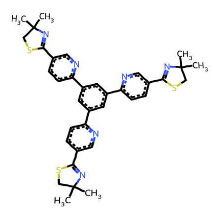 CC1(C)CSC(c2ccc(-c3cc(-c4ccc(C5=NC(C)(C)CS5)cn4)cc(-c4ccc(C5=NC(C)(C)CS5)cn4)c3)nc2)=N1